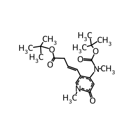 CN(C(=O)OC(C)(C)C)c1cc(=O)n(C)cc1/C=C/CC(=O)OC(C)(C)C